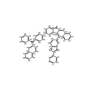 c1ccc(-c2nc3cc(-c4c5ccccc5cc5sc6ccc(-c7ccc(N(c8ccccc8)c8ccc9ccccc9c8)cc7)cc6c45)ccc3o2)cc1